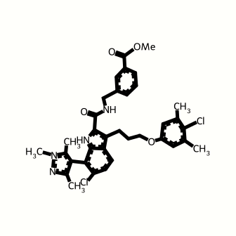 COC(=O)c1cccc(CNC(=O)c2[nH]c3c(-c4c(C)nn(C)c4C)c(Cl)ccc3c2CCCOc2cc(C)c(Cl)c(C)c2)c1